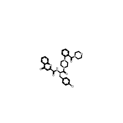 O=C(N[C@H](Cc1ccc(Cl)cc1)C(=O)N1CCN(c2ccccc2C(=O)N2CCOCC2)CC1)c1cc(=O)c2ccccc2o1